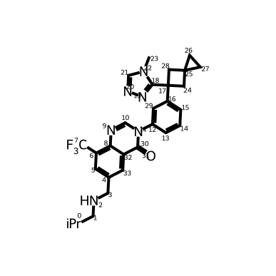 CC(C)CNCc1cc(C(F)(F)F)c2ncn(-c3cccc(C4(c5nncn5C)CC5(CC5)C4)c3)c(=O)c2c1